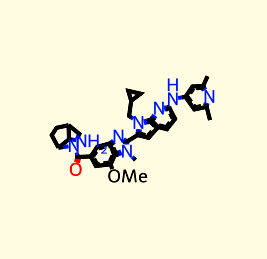 COc1cc(C(=O)N2CC3CCC2C3N)cc2nc(-c3cc4ccc(Nc5cc(C)nc(C)c5)nc4n3CC3CC3)n(C)c12